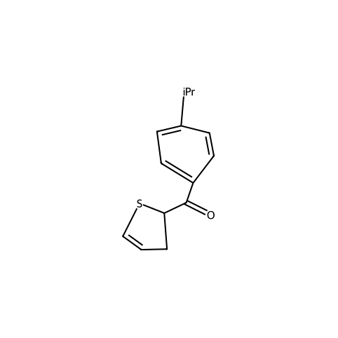 CC(C)c1ccc(C(=O)C2CC=CS2)cc1